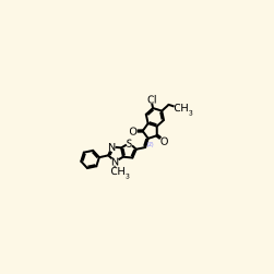 CCc1cc2c(cc1Cl)C(=O)/C(=C\c1cc3c(nc(-c4ccccc4)n3C)s1)C2=O